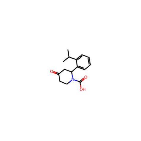 CC(C)c1ccccc1C1CC(=O)CCN1C(=O)O